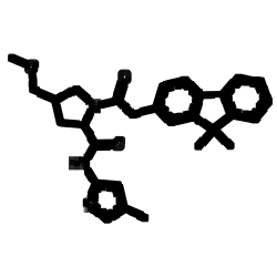 COCC1CC(C(=O)Nc2cc(C)cs2)N(C(=O)Cc2ccc3c(c2)C(C)(C)c2ccccc2-3)C1